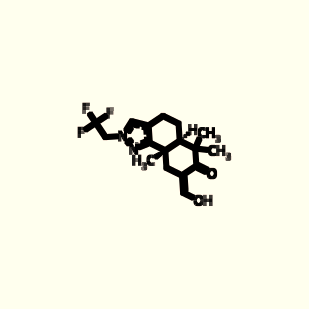 CC1(C)C(=O)/C(=C\O)C[C@]2(C)c3nn(CC(F)(F)F)cc3CC[C@@H]12